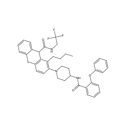 CCCCc1c(N2CCC(NC(=O)c3ccccc3Oc3ccccc3)CC2)ccc2c1C(C(=O)NCC(F)(F)F)c1ccccc1S2